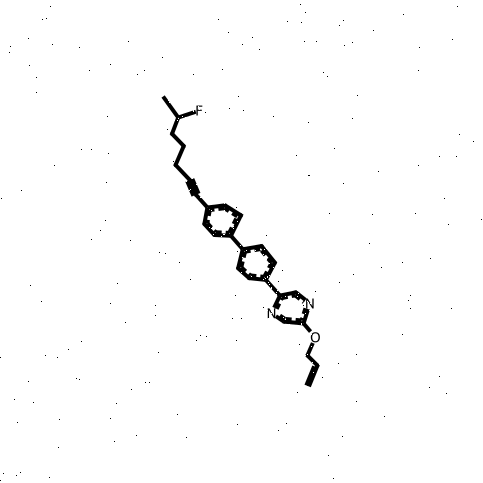 C=CCOc1cnc(-c2ccc(-c3ccc(C#CCCCC(C)F)cc3)cc2)cn1